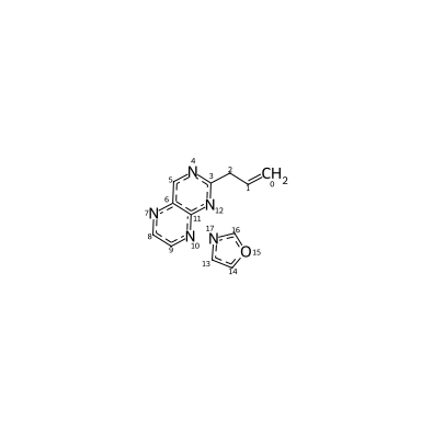 C=CCc1ncc2nccnc2n1.c1cocn1